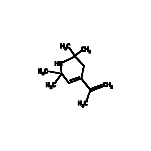 C=C(C)C1=CC(C)(C)NC(C)(C)C1